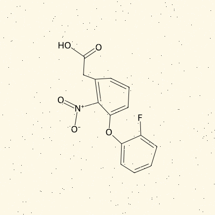 O=C(O)Cc1cccc(Oc2ccccc2F)c1[N+](=O)[O-]